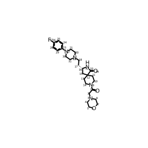 O=C(CN1CCOCC1)N1CCC2(CC1)C[C@H](CCN1CCN(c3ccc(F)cc3)CC1)NC2=O